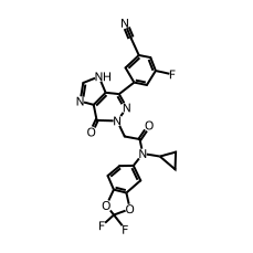 N#Cc1cc(F)cc(-c2nn(CC(=O)N(c3ccc4c(c3)OC(F)(F)O4)C3CC3)c(=O)c3nc[nH]c23)c1